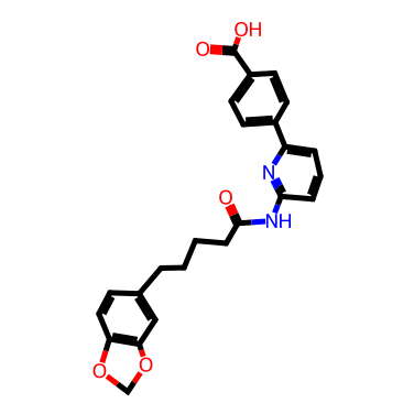 O=C(CCCCc1ccc2c(c1)OCO2)Nc1cccc(-c2ccc(C(=O)O)cc2)n1